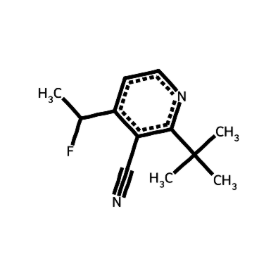 CC(F)c1ccnc(C(C)(C)C)c1C#N